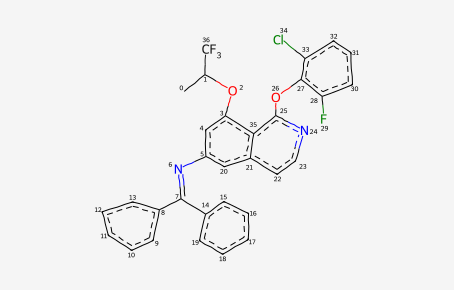 CC(Oc1cc(N=C(c2ccccc2)c2ccccc2)cc2ccnc(Oc3c(F)cccc3Cl)c12)C(F)(F)F